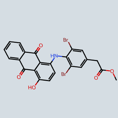 COC(=O)Cc1cc(Br)c(Nc2ccc(O)c3c2C(=O)c2ccccc2C3=O)c(Br)c1